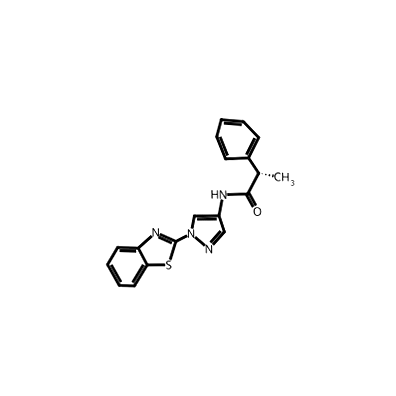 C[C@H](C(=O)Nc1cnn(-c2nc3ccccc3s2)c1)c1ccccc1